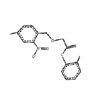 C=C(COCc1ccc(C)cc1[N+](=O)[O-])Sc1ccccc1C